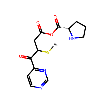 CC(=O)SC(CC(=O)OC(=O)[C@@H]1CCCN1)C(=O)c1ccncn1